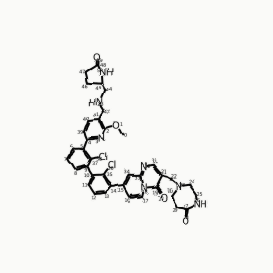 COc1nc(-c2cccc(-c3cccc(-c4ccn5c(=O)c(CN6CCNC(=O)CC6)cnc5c4)c3Cl)c2Cl)ccc1CNC[C@H]1CCC(=O)N1